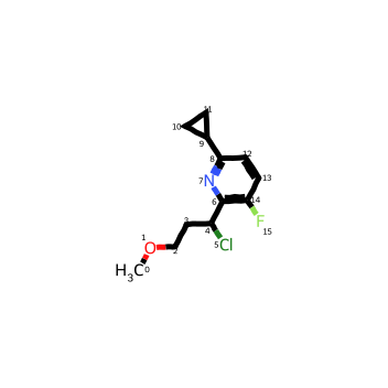 COCCC(Cl)c1nc(C2CC2)ccc1F